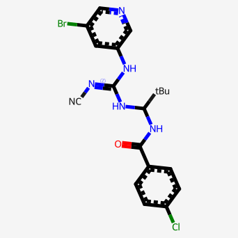 CC(C)(C)C(NC(=O)c1ccc(Cl)cc1)N/C(=N\C#N)Nc1cncc(Br)c1